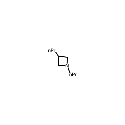 CCCC1CN(CCC)C1